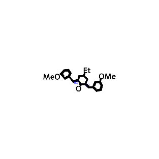 CCC1C/C(=C\c2cccc(OC)c2)C(=O)/C(=C/c2cccc(OC)c2)C1